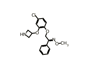 CON=C(COc1ccc(Cl)cc1OC1CNC1)c1ccccc1